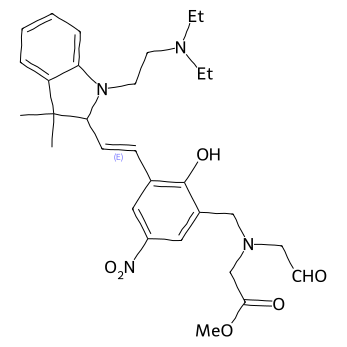 CCN(CC)CCN1c2ccccc2C(C)(C)C1/C=C/c1cc([N+](=O)[O-])cc(CN(CC=O)CC(=O)OC)c1O